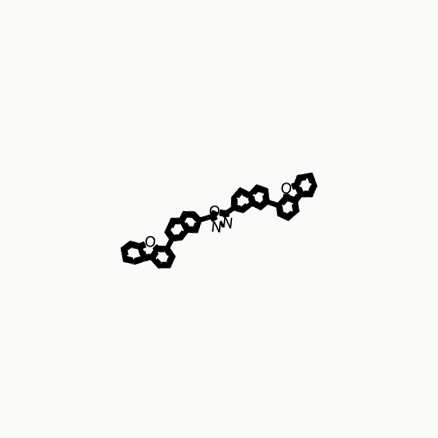 c1ccc2c(c1)oc1c(-c3ccc4ccc(-c5nnc(-c6ccc7ccc(-c8cccc9c8oc8ccccc89)cc7c6)o5)cc4c3)cccc12